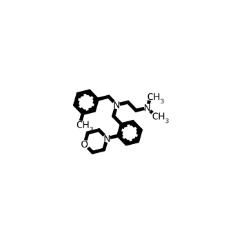 Cc1cccc(CN(CCN(C)C)Cc2ccccc2N2CCOCC2)c1